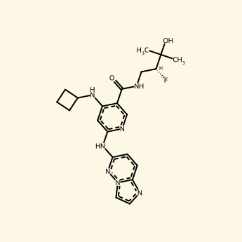 CC(C)(O)[C@H](F)CNC(=O)c1cnc(Nc2ccc3nccn3n2)cc1NC1CCC1